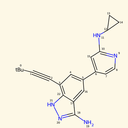 CC(C)(C)C#Cc1cc(-c2ccnc(NC3CC3)c2)cc2c(N)n[nH]c12